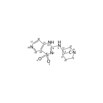 O=S1(=O)N=C(NC2CN3CCC2CC3)Nc2ccncc21